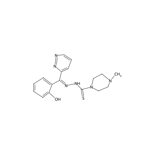 CN1CCN(C(=S)N/N=C(\c2cccnn2)c2ccccc2O)CC1